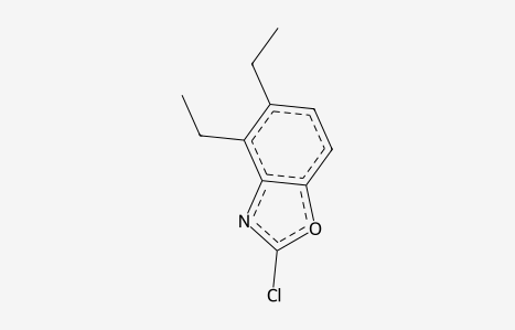 CCc1ccc2oc(Cl)nc2c1CC